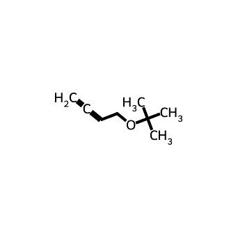 C=C=CCOC(C)(C)C